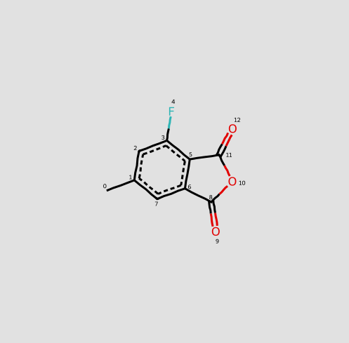 Cc1cc(F)c2c(c1)C(=O)OC2=O